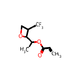 C=CC(=O)OC(C)C1OCC1C(F)(F)F